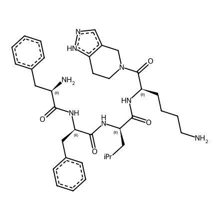 CC(C)C[C@@H](NC(=O)[C@@H](Cc1ccccc1)NC(=O)[C@H](N)Cc1ccccc1)C(=O)N[C@H](CCCCN)C(=O)N1CCc2[nH]ncc2C1